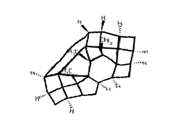 C[C@@]12C3C[C@@H]4[C@@H]5C[C@@H]6[C@@H]7C[C@@H]8[C@H]9[C@H]%10[C@@H]%11[C@@H]%12C[C@H]3C%121C%111C%103C9%10C87C65[C@]%10(C)[C@]3(C)C412